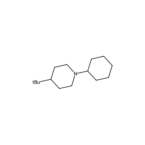 CC(C)(C)C1CCN(C2CCCCC2)CC1